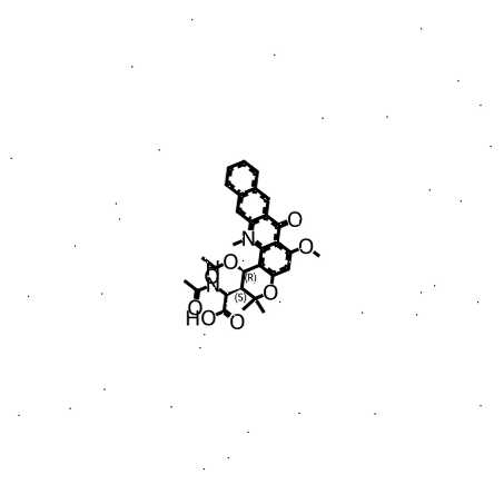 COc1cc2c(c3c1c(=O)c1cc4ccccc4cc1n3C)[C@H](OC(C)=O)[C@H](C(NC(C)=O)C(=O)O)C(C)(C)O2